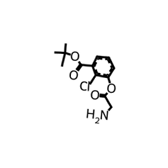 CC(C)(C)OC(=O)c1cccc(OC(=O)CN)c1Cl